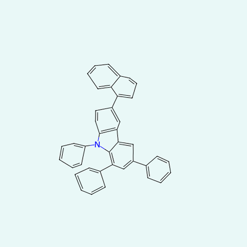 c1ccc(-c2cc(-c3ccccc3)c3c(c2)c2cc(-c4cccc5ccccc45)ccc2n3-c2ccccc2)cc1